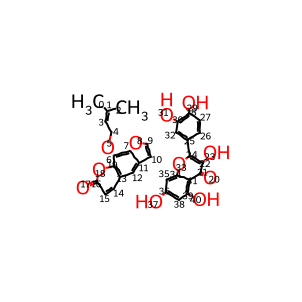 CC(C)=CCOc1c2occc2cc2ccc(=O)oc12.O=c1c(O)c(-c2ccc(O)c(O)c2)oc2cc(O)cc(O)c12